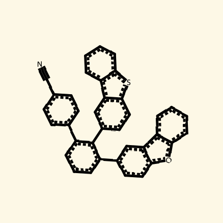 N#Cc1ccc(-c2cccc(-c3ccc4oc5ccccc5c4c3)c2-c2ccc3sc4ccccc4c3c2)cc1